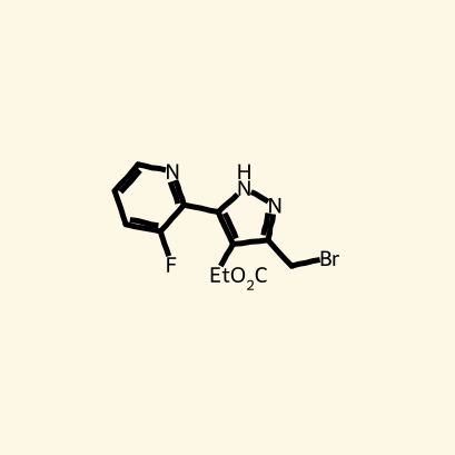 CCOC(=O)c1c(CBr)n[nH]c1-c1ncccc1F